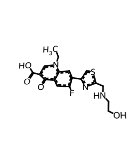 CCn1cc(C(=O)O)c(=O)c2cc(F)c(-c3csc(CNCCO)n3)cc21